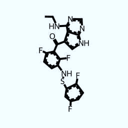 CCNc1ncnc2[nH]cc(C(=O)c3c(F)ccc(NSc4cc(F)ccc4F)c3F)c12